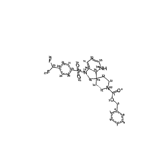 O=C(OCc1ccccc1)N1CCC2(CC1)CN(S(=O)(=O)c1ccc(C(F)F)cc1)C1=CC=CNC12